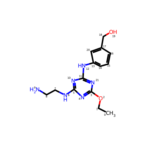 CCOc1nc(NCCN)nc(Nc2cccc(CO)c2)n1